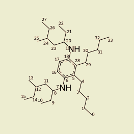 CCCCCc1c(NC(CC)CC(C)CC)ccc(NC(CC)CC(C)CC)c1CCCCC